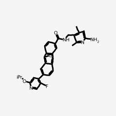 Cc1cc(N)nc(C)c1CNC(=O)c1ccc2c(c1)c1oc2c2cc(-c3cc(OC(C)C)ncc3F)ccc21